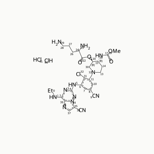 CCNc1nc(Nc2cc(C#N)cc(N3CC[C@@H](NC(=O)OC)[C@H](OC(=O)C(N)CCCN)C3)c2Cl)nn2c(C#N)cnc12.Cl.Cl